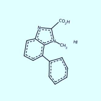 Cn1c(C(=O)O)nc2cccc(-c3ccccc3)c21.I